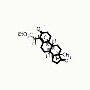 CCOC(=O)NC1=C2CC[C@@H]3[C@@H](CC[C@]4(C)C(=O)CC[C@@H]34)[C@@]2(C)CCC1=O